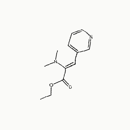 CCOC(=O)C(=Cc1cccnc1)N(C)C